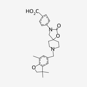 Cc1cc(CN2CCC3(CC2)CN(c2ccc(C(=O)O)cc2)C(=O)O3)cc2c1OCC2(C)C